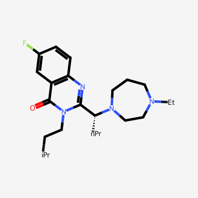 CCC[C@H](c1nc2ccc(F)cc2c(=O)n1CCC(C)C)N1CCCN(CC)CC1